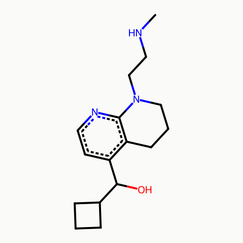 CNCCN1CCCc2c(C(O)C3CCC3)ccnc21